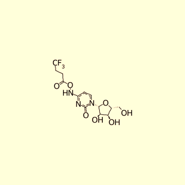 O=C(CCC(F)(F)F)ONc1ccn([C@@H]2O[C@H](CO)[C@@H](O)[C@H]2O)c(=O)n1